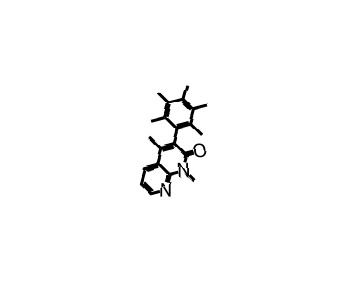 Cc1c(C)c(C)c(-c2c(C)c3cccnc3n(C)c2=O)c(C)c1C